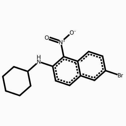 O=[N+]([O-])c1c(NC2CCCCC2)ccc2cc(Br)ccc12